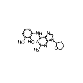 Oc1cccc(Nc2nc(S)nc3c2ncn3C2CCCO2)c1O